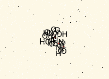 CC[C@@]12C=CCN3CC[C@]4(C(=C(C(=O)OC)C1)Nc1cc5c(cc14)[C@H]1[C@@H](O5)[C@H](O)[C@]4(CC)CC(C(=O)OC)=C5Nc6c(cc(O)c(OC)c6OC)[C@@]56CCN1[C@H]46)[C@H]32